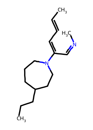 C/C=C/C=C(\C=N/C)N1CCCC(CCC)CC1